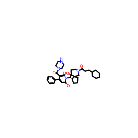 O=C(CCC1CCCCC1)N1CCC(O)(Cn2cc(C(=O)N3CCNCC3)c(-c3ccccc3)cc2=O)C2(CCCC2)C1